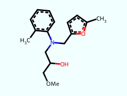 COCC(O)CN(Cc1ccc(C)o1)c1ccccc1C